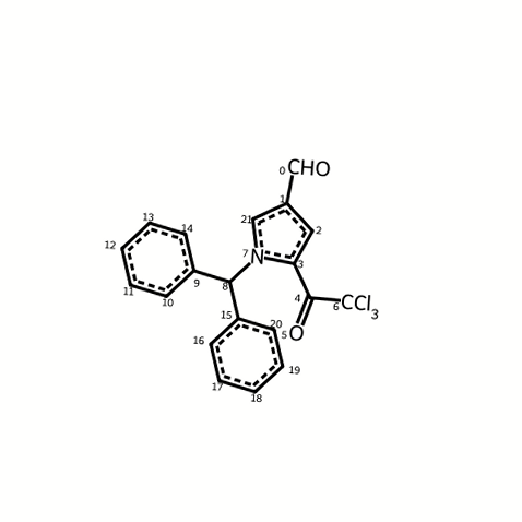 O=Cc1cc(C(=O)C(Cl)(Cl)Cl)n(C(c2ccccc2)c2ccccc2)c1